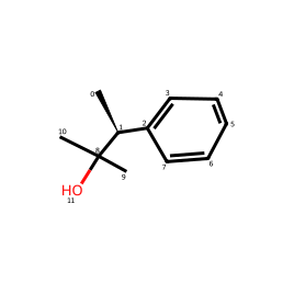 C[C@@H](c1ccccc1)C(C)(C)O